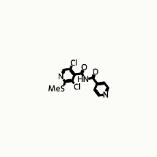 CSc1ncc(Cl)c(C(=O)NC(=O)c2ccncc2)c1Cl